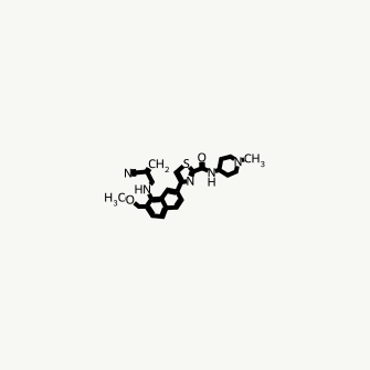 C=C(C#N)CNc1c(COC)ccc2ccc(-c3csc(C(=O)NC4CCN(C)CC4)n3)cc12